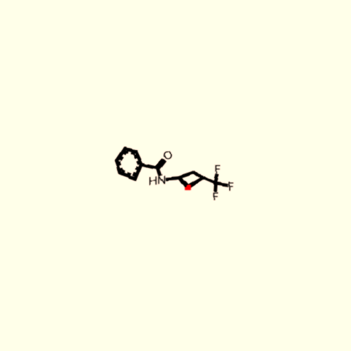 O=C(NC12CC(C(F)(F)F)(C1)C2)c1ccccc1